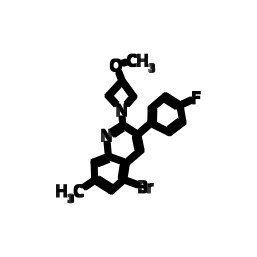 COC1CN(c2nc3cc(C)cc(Br)c3cc2-c2ccc(F)cc2)C1